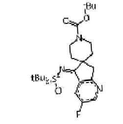 CC(C)(C)OC(=O)N1CCC2(CC1)Cc1ncc(F)cc1C2=N[S@+]([O-])C(C)(C)C